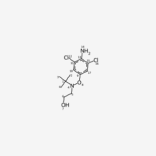 CC(C)(C)N(CCO)Oc1cc(Cl)c(N)c(Cl)c1